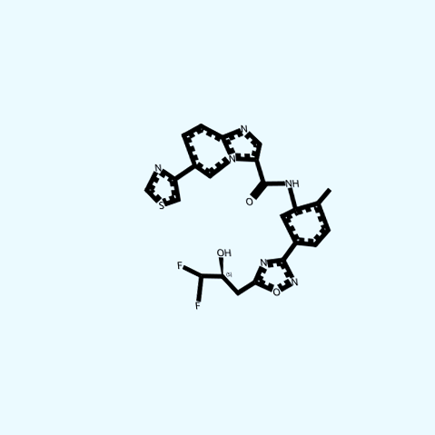 Cc1ccc(-c2noc(C[C@H](O)C(F)F)n2)cc1NC(=O)c1cnc2ccc(-c3cscn3)cn12